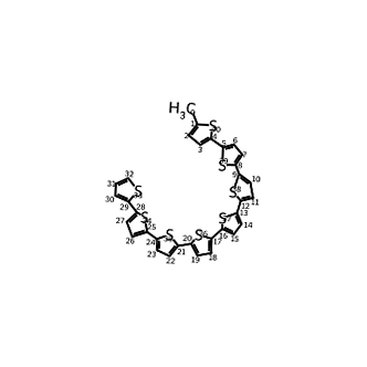 Cc1ccc(-c2ccc(-c3ccc(-c4ccc(-c5ccc(-c6ccc(-c7ccc(-c8cccs8)s7)s6)s5)s4)s3)s2)s1